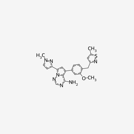 COc1cc(-c2cc(-c3ccn(C)n3)n3ncnc(N)c23)ccc1Cc1cc(C)sn1